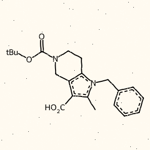 Cc1c(C(=O)O)c2c(n1Cc1ccccc1)CCN(C(=O)OC(C)(C)C)C2